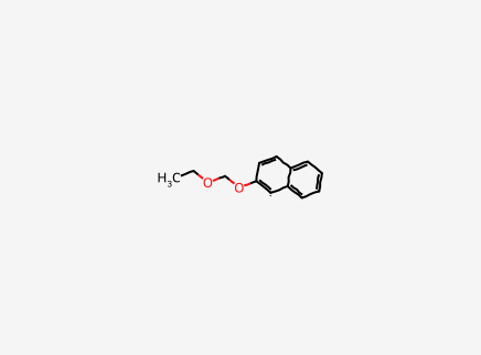 CCOCOc1[c]c2ccccc2cc1